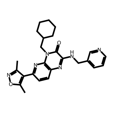 Cc1noc(C)c1-c1ccc2nc(NCc3cccnc3)c(=O)n(CC3CCCCC3)c2n1